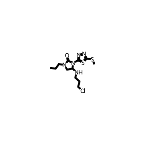 CCCN1CC(NCCCCl)N(c2nnc(SC)s2)C1=O